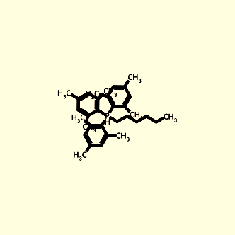 CCCCCC[PH](c1c(C)cc(C)cc1C)(c1c(C)cc(C)cc1C)c1c(C)cc(C)cc1C